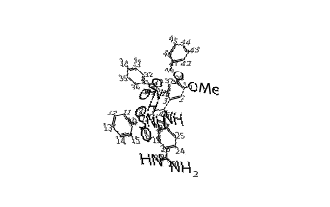 COc1cc(C(CNS(=O)(=O)c2ccccc2)Nc2ccc(C(=N)N)cc2)c(NS(=O)(=O)c2ccccc2)cc1OCc1ccccc1